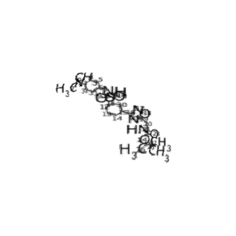 CN(C)c1ccc(NS(=O)(=O)c2cccc(-c3noc(CNC(=O)OC(C)(C)C)n3)c2)cc1